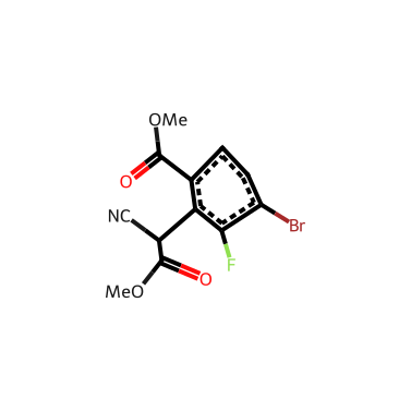 COC(=O)c1ccc(Br)c(F)c1C(C#N)C(=O)OC